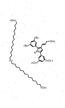 CCCCCCCCCCCC=CC1=C(c2cc(CCCC)cc(CCCC)c2)[N+](=[N-])C(c2cc(CCCCCCCC)cc(CCCCCCCC)c2)=C1.CCCCCCCCCCCCCCCCCCCCCCC[CH2][Pd][CH2]CCCCCCCCCCCCCCCCCCCCCCC